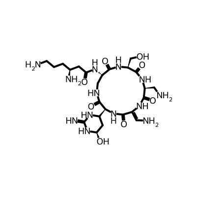 N=C1NC([C@@H]2NC(=O)/C(=C/N)NC(=O)[C@H](CN)NC(=O)[C@H](CO)NC(=O)[C@@H](NC(=O)C[C@@H](N)CCCN)CNC2=O)C[C@@H](O)N1